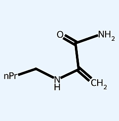 C=C(NCCCC)C(N)=O